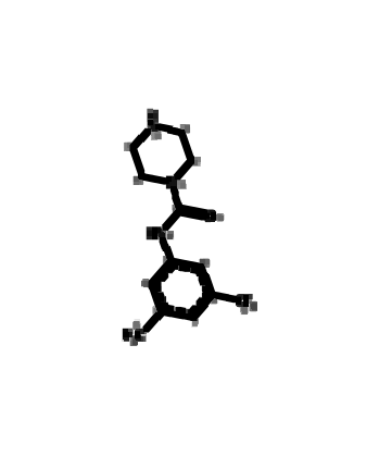 O=C(Nc1cc(C(F)(F)F)cc(C(F)(F)F)c1)N1CCNCC1